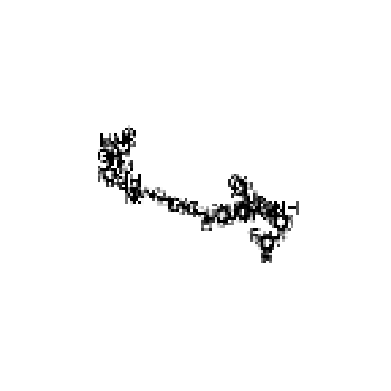 O=C1CCC(N2C(=O)c3cccc(NCc4cn(CCOCCOCCOCCC(=O)N5CCN(c6ccc(C(=O)Nc7n[nH]c8ccc(Cc9cc(F)cc(F)c9)cc78)c(NC7CCOCC7)c6)CC5)nn4)c3C2=O)C(=O)N1